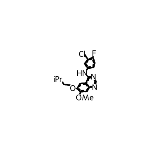 COc1cc2ncnc(Nc3ccc(F)c(Cl)c3)c2cc1OCCC(C)C